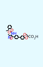 Cc1noc(-c2ccc(-c3ccc4c(c3)OCC(C(=O)O)O4)cc2)c1NC(=O)OC(C)c1ccccc1